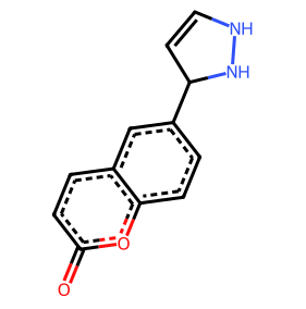 O=c1ccc2cc(C3C=CNN3)ccc2o1